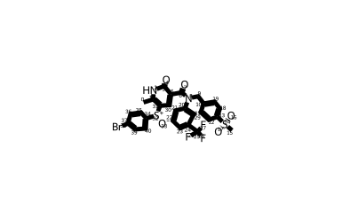 Cc1[nH]c(=O)c(C(=O)N(Cc2ccc(S(C)(=O)=O)cc2)c2cccc(C(F)(F)F)c2)cc1[S+]([O-])c1ccc(Br)cc1